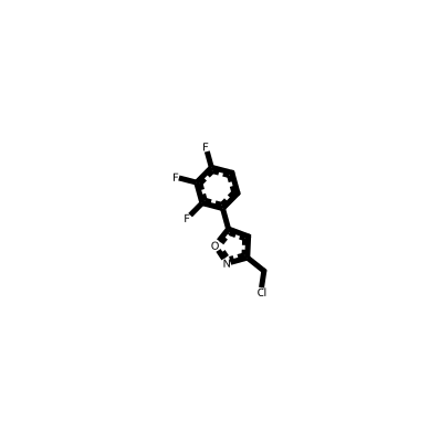 Fc1ccc(-c2cc(CCl)no2)c(F)c1F